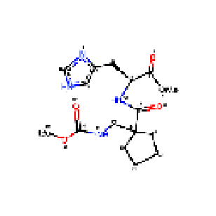 COC(=O)[C@H](Cc1c[nH]cn1)NC(=O)C1(CNC(=O)OC(C)(C)C)CCCC1